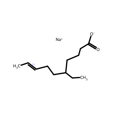 C/C=C/CCC(CC)CCCC(=O)[O-].[Na+]